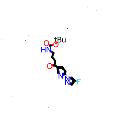 CC(C)(C)OC(=O)NCCCC(=O)c1ccc(-n2cc(F)cn2)nc1